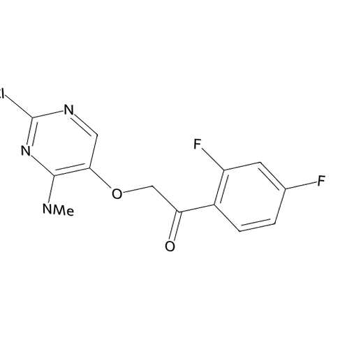 CNc1nc(Cl)ncc1OCC(=O)c1ccc(F)cc1F